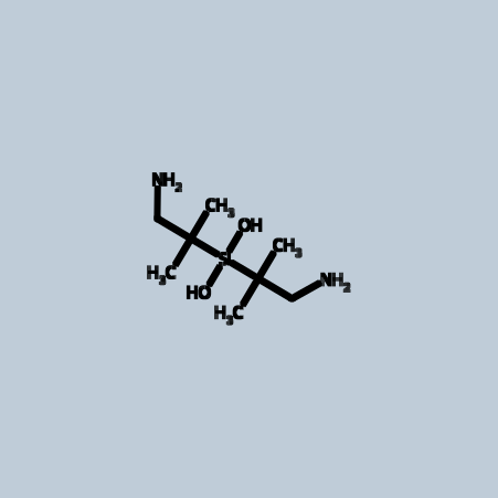 CC(C)(CN)[Si](O)(O)C(C)(C)CN